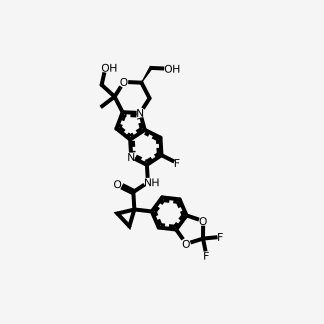 CC1(CO)O[C@@H](CO)Cn2c1cc1nc(NC(=O)C3(c4ccc5c(c4)OC(F)(F)O5)CC3)c(F)cc12